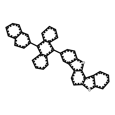 c1ccc2cc(-c3c4ccccc4c(-c4ccc5oc6c(ccc7oc8ccccc8c76)c5c4)c4ccccc34)ccc2c1